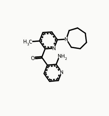 Cc1ccc(N2CCCCCC2)nc1C(=O)c1cccnc1N